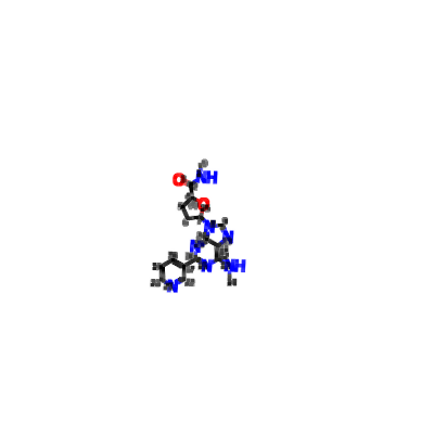 CNC(=O)[C@@H]1CCC(n2cnc3c(NC)nc(-c4cccnc4)nc32)O1